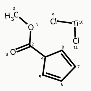 COC(=O)C1C=CC=C1.[Cl][Ti][Cl]